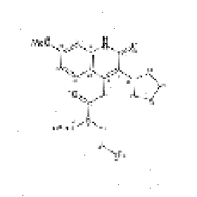 CCCCCN(CCC(C)(C)C)C(=O)Cc1c(C2CCCC2)c(=O)[nH]c2cc(OC)ccc12